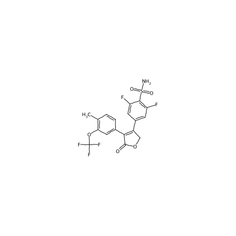 Cc1ccc(C2=C(c3cc(F)c(S(N)(=O)=O)c(F)c3)COC2=O)cc1OC(F)(F)F